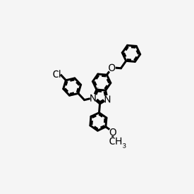 COc1cccc(-c2nc3cc(OCc4ccccc4)ccc3n2Cc2ccc(Cl)cc2)c1